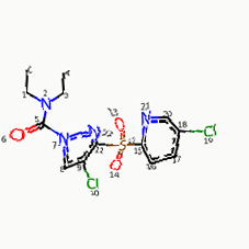 CCN(CC)C(=O)n1cc(Cl)c(S(=O)(=O)c2ccc(Cl)cn2)n1